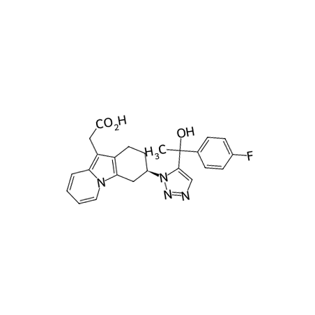 CC(O)(c1ccc(F)cc1)c1cnnn1[C@@H]1CCc2c(CC(=O)O)c3ccccn3c2C1